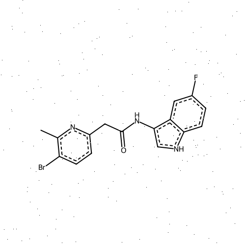 Cc1nc(CC(=O)Nc2c[nH]c3ccc(F)cc23)ccc1Br